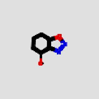 [O]c1cccc2onnc12